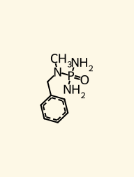 CN(Cc1ccccc1)P(N)(N)=O